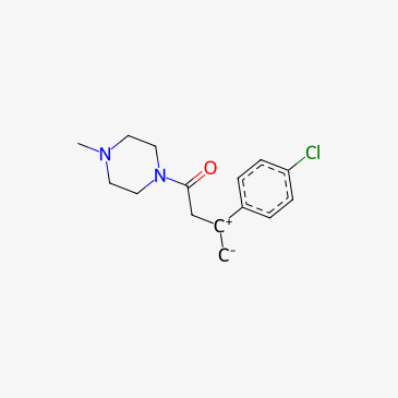 [CH2-][C+](CC(=O)N1CCN(C)CC1)c1ccc(Cl)cc1